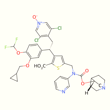 O=C(O)c1sc(CN(C(=O)O[C@H]2CN3CCC2CC3)c2cccnc2)cc1[C@@H](Cc1c(Cl)c[n+]([O-])cc1Cl)c1ccc(OC(F)F)c(OCC2CC2)c1